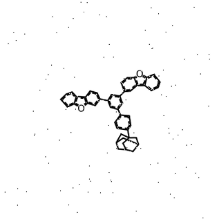 c1ccc2c(c1)oc1cc(-c3cc(-c4ccc(C56CC7CC(CC(C7)C5)C6)cc4)cc(-c4ccc5oc6ccccc6c5c4)c3)ccc12